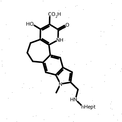 CCCCCCCNCc1cc2cc3c(cc2n1C)CCCc1c-3[nH]c(=O)c(C(=O)O)c1O